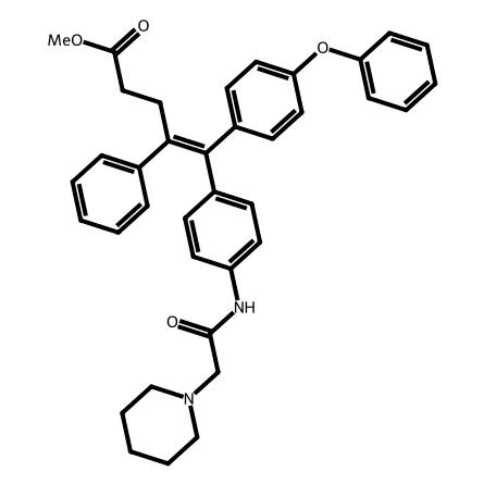 COC(=O)CC/C(=C(/c1ccc(NC(=O)CN2CCCCC2)cc1)c1ccc(Oc2ccccc2)cc1)c1ccccc1